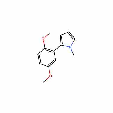 COc1ccc(OC)c(-c2c[c]cn2C)c1